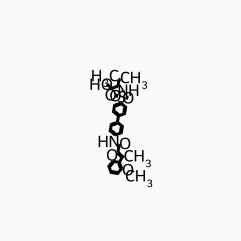 COc1cccc2oc(C(=O)Nc3ccc(-c4ccc(S(=O)(=O)NC(C(=O)O)C(C)C)cc4)cc3)c(C)c12